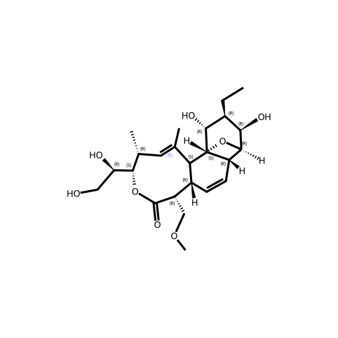 CC[C@H]1[C@@H](O)[C@@H]2O[C@@]34/C(C)=C/[C@@H](C)[C@@H]([C@H](O)CO)OC(=O)[C@@H](COC)[C@H]3C=C[C@@H]2[C@H]4[C@@H]1O